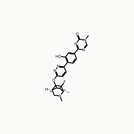 CN1C[C@H]2CC[C@]1(C)C(F)C2Oc1ccc(-c2ccc(-c3ncn(C)c(=O)n3)cc2O)nn1